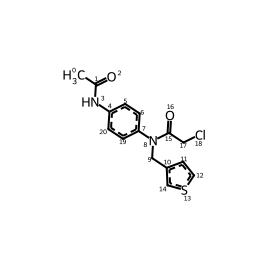 CC(=O)Nc1ccc(N(Cc2ccsc2)C(=O)CCl)cc1